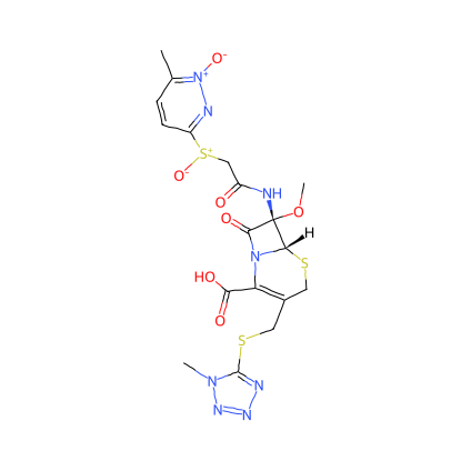 CO[C@@]1(NC(=O)C[S+]([O-])c2ccc(C)[n+]([O-])n2)C(=O)N2C(C(=O)O)=C(CSc3nnnn3C)CS[C@H]21